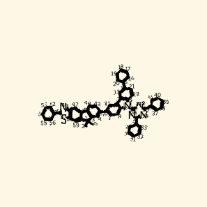 CC1(C)c2cc(-c3ccc4c(c3)c3cc(-c5ccccc5)ccc3n4-c3nc(-c4ccccc4)nc(-c4ccccc4)n3)ccc2-c2cc3nc(-c4ccccc4)sc3cc21